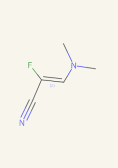 CN(C)/C=C(\F)C#N